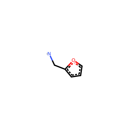 [N]Cc1ccco1